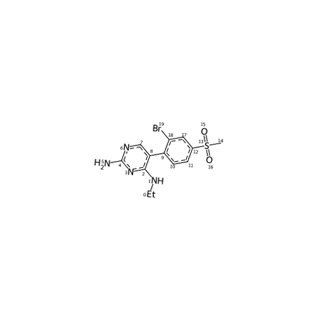 CCNc1nc(N)ncc1-c1ccc(S(C)(=O)=O)cc1Br